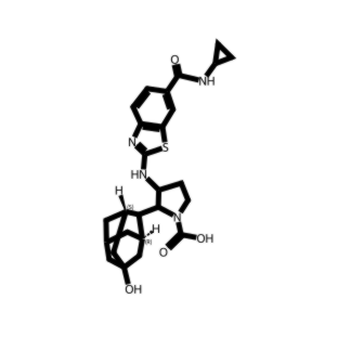 O=C(NC1CC1)c1ccc2nc(NC3CCN(C(=O)O)C3C3[C@@H]4CC5C[C@H]3CC(O)(C5)C4)sc2c1